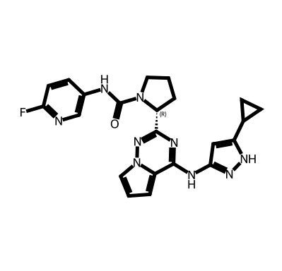 O=C(Nc1ccc(F)nc1)N1CCC[C@@H]1c1nc(Nc2cc(C3CC3)[nH]n2)c2cccn2n1